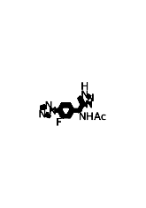 CC(=O)NC(c1ccc(-n2cncn2)c(F)c1)c1c[nH]nn1